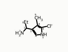 CCC(N)c1c[nH]c(Cl)c1C